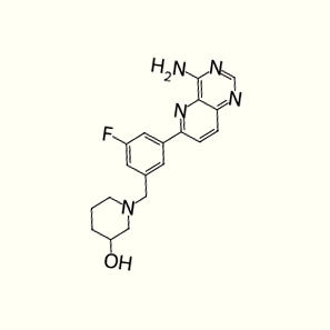 Nc1ncnc2ccc(-c3cc(F)cc(CN4CCCC(O)C4)c3)nc12